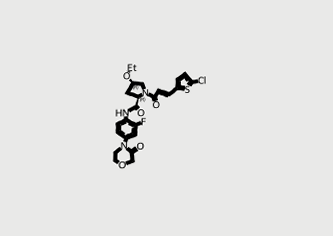 CCO[C@@H]1C[C@H](C(=O)Nc2ccc(N3CCOCC3=O)cc2F)N(C(=O)C=Cc2ccc(Cl)s2)C1